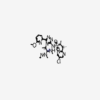 C=NN(C)/C(=N\C)[C@@H](C)n1c(NS(=O)(=O)[C@@H](C)[C@H](C)c2ncc(Cl)cn2)nnc1-c1cccc(OC)n1